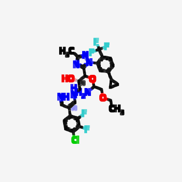 CCOCC(N)OC(c1nc(C)nn1-c1cc(C2CC2)ccc1C(F)(F)F)[C@@H](O)CN/C=C(\C=N)c1ccc(Cl)c(F)c1F